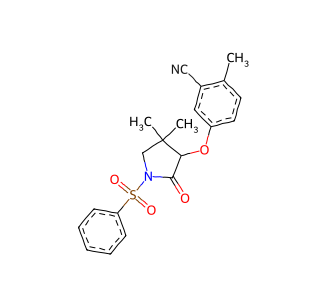 Cc1ccc(OC2C(=O)N(S(=O)(=O)c3ccccc3)CC2(C)C)cc1C#N